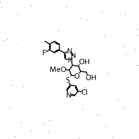 COC1C(n2cc(-c3ccc(C)c(F)c3)nn2)[C@@H](O)C(CO)O[C@@H]1Sc1cncc(Cl)c1